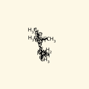 CCCCOP(=O)(COCCn1cnc2c1N=C(N)NC2OC)N[C@H](C)C(=O)OCC